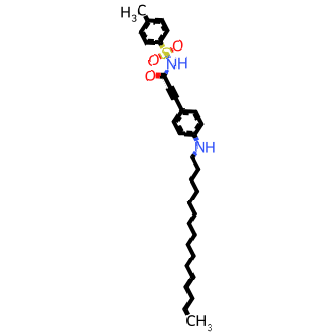 CCCCCCCCCCCCCCCCNc1ccc(C#CC(=O)NS(=O)(=O)c2ccc(C)cc2)cc1